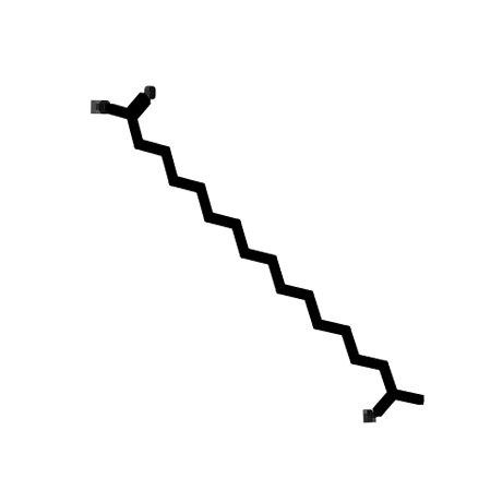 CC(Br)CCCCCCCCCCCCCCC(=O)O